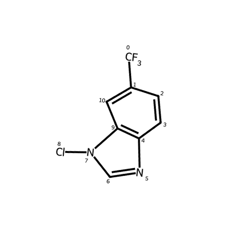 FC(F)(F)c1ccc2ncn(Cl)c2c1